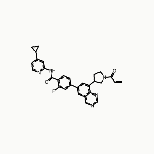 C=CC(=O)N1CCC(c2cc(-c3ccc(C(=O)Nc4cc(C5CC5)ccn4)c(F)c3)cc3cncnc23)C1